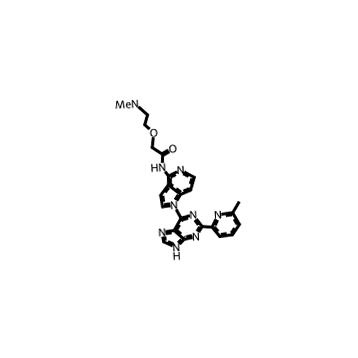 CNCCOCC(=O)Nc1nccc2c1ccn2-c1nc(-c2cccc(C)n2)nc2[nH]cnc12